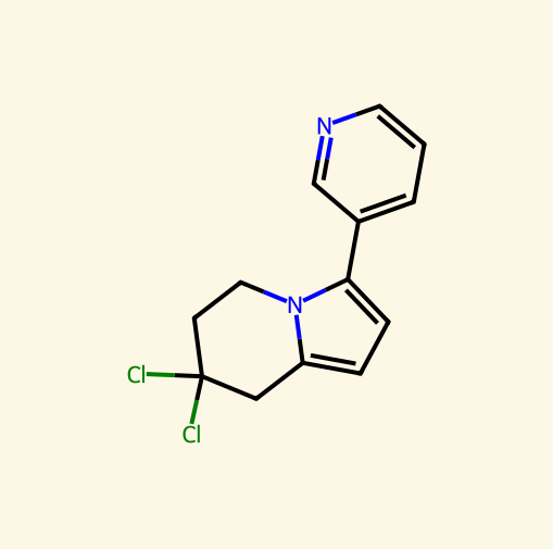 ClC1(Cl)CCn2c(ccc2-c2cccnc2)C1